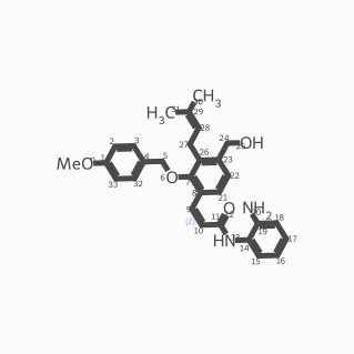 COc1ccc(COc2c(/C=C\C(=O)Nc3ccccc3N)ccc(CO)c2CC=C(C)C)cc1